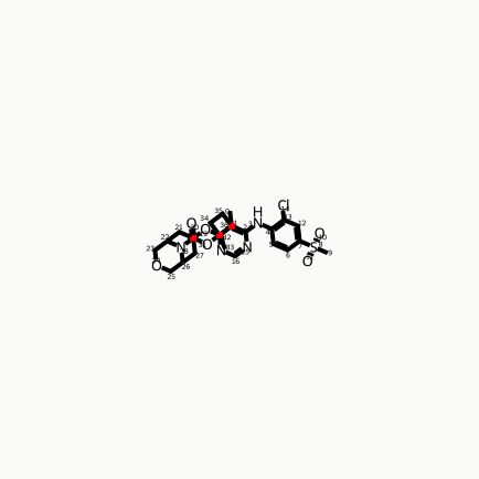 Cc1c(Nc2ccc(S(C)(=O)=O)cc2Cl)ncnc1OC1CC2COCC(C1)N2C(=O)OC1(C)CCC1